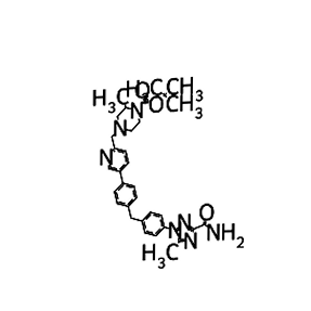 Cc1nc(C(N)=O)nn1-c1ccc(Cc2ccc(-c3ccc(CN4CCN(C(=O)OC(C)(C)C)C(C)C4)nc3)cc2)cc1